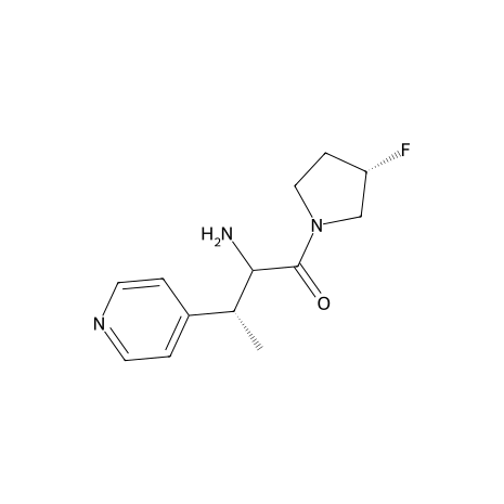 C[C@H](c1ccncc1)C(N)C(=O)N1CC[C@H](F)C1